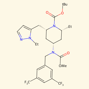 CC[C@@H]1C[C@H](N(Cc2cc(C(F)(F)F)cc(C(F)(F)F)c2)C(=O)OC)C[C@H](Cc2ccnn2CC)N1C(=O)OC(C)(C)C